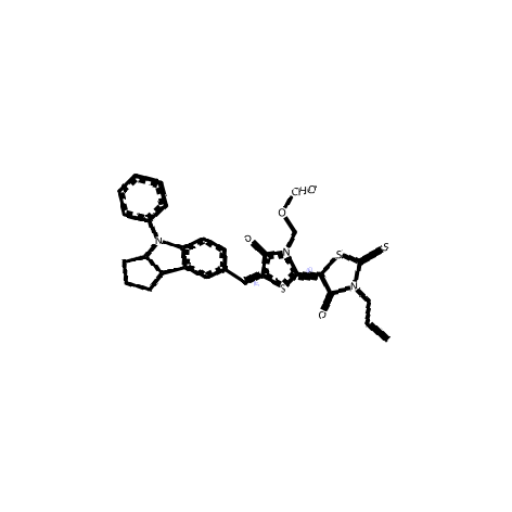 C=CCN1C(=O)/C(=c2\s/c(=C/c3ccc4c(c3)C3CCCC3N4c3ccccc3)c(=O)n2COC=O)SC1=S